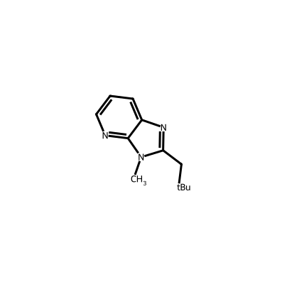 Cn1c(CC(C)(C)C)nc2cccnc21